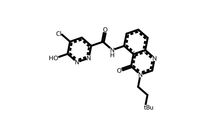 CC(C)(C)CCn1cnc2cccc(NC(=O)c3cc(Cl)c(O)nn3)c2c1=O